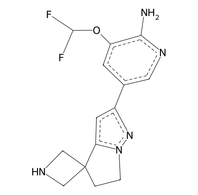 Nc1ncc(-c2cc3n(n2)CCC32CNC2)cc1OC(F)F